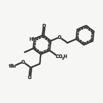 Cc1[nH]c(=O)c(OCc2ccccc2)c(C(=O)O)c1CC(=O)OC(C)(C)C